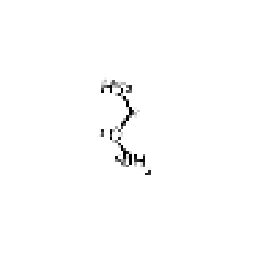 BOCS